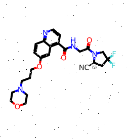 N#C[C@@H]1CC(F)(F)CN1C(=O)CNC(=O)c1ccnc2ccc(OCCCN3CCOCC3)cc12